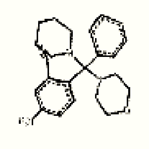 N#Cc1cc(N)ccc1C(c1ccccc1)(N1CCCCC1)N1CCOCC1